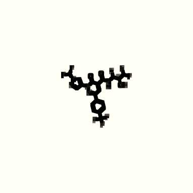 O=C(NC(F)[C@H](O)C(F)F)c1cc(-c2ccc(C(F)(F)F)cc2)nn(-c2cnn(C(F)F)c2)c1=O